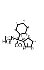 Cl.N[C@](C(=O)O)(C1CCCCC1)C1CCCC1